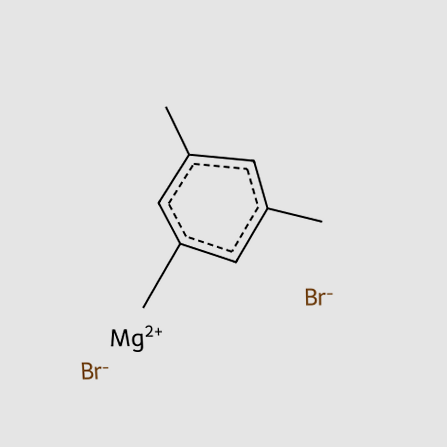 Cc1cc(C)cc(C)c1.[Br-].[Br-].[Mg+2]